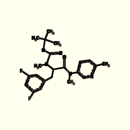 Cc1ccc(N(C)C(=O)C(Cc2cc(F)cc(F)c2)N(C)C(=O)OC(C)(C)C)cn1